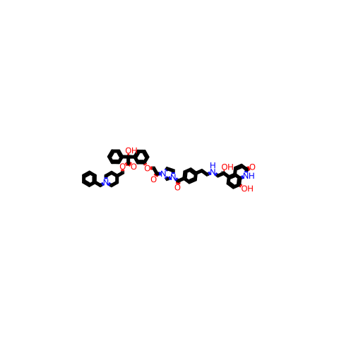 O=C(COc1cccc([C@](O)(C(=O)OCC2CCN(Cc3ccccc3)CC2)c2ccccc2)c1)N1CCN(C(=O)c2ccc(CCNC[C@H](O)c3ccc(O)c4[nH]c(=O)ccc34)cc2)C1